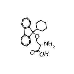 N[C@@H](COC1(C2CCCCC2)c2ccccc2-c2ccccc21)C(=O)O